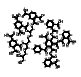 O=C(O)c1ccc(C(=O)O)c(C(=O)OCC(COCC(COCC(O)CO)OC(=O)c2cc(C(=O)O)ccc2C(=O)O)OC(=O)c2cc(C(=O)O)ccc2C(=O)O)c1.O=C(O)c1ccccc1C(=O)OC(=O)c1c(C(=O)O)cc(C(=O)c2ccccc2)c(C(=O)OC(=O)c2ccccc2C(=O)O)c1C(=O)OC(=O)c1ccccc1C(=O)O